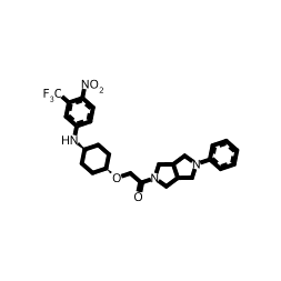 O=C(CO[C@H]1CC[C@H](Nc2ccc([N+](=O)[O-])c(C(F)(F)F)c2)CC1)N1CC2CN(c3ccccc3)CC2C1